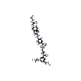 CCCCC(=O)Oc1ccc(OC(=O)/C=C/c2ccc(C(=O)OCCCOC(=O)c3cc(N)cc(N)c3)cc2)cc1